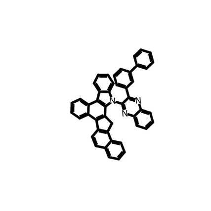 c1ccc(-c2cccc(-c3nc4ccccc4nc3-n3c4ccccc4c4c5ccccc5c5c(c43)Cc3c-5ccc4ccccc34)c2)cc1